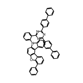 c1ccc(-c2ccc(-c3nc(-c4ccc(-c5ccccc5)cc4)nc(-c4ccccc4-n4c5ccccc5c5c6c(ccc54)oc4c(-c5ccccc5)cccc46)n3)cc2)cc1